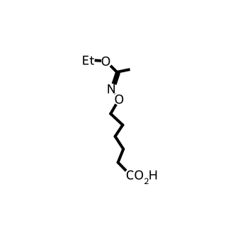 CCOC(C)=NOCCCCCC(=O)O